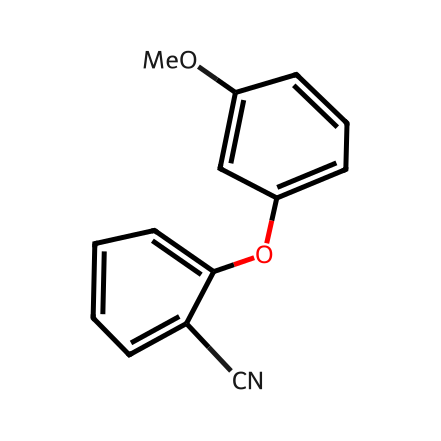 COc1cccc(Oc2ccccc2C#N)c1